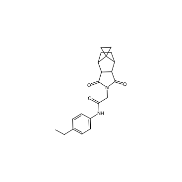 CCc1ccc(NC(=O)CN2C(=O)C3C(C2=O)C2CCC3C23CC3)cc1